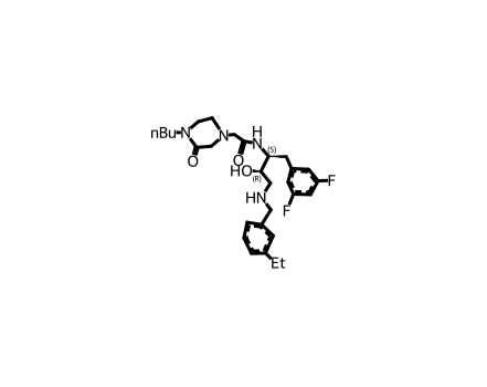 CCCCN1CCN(CC(=O)N[C@@H](Cc2cc(F)cc(F)c2)[C@H](O)CNCc2cccc(CC)c2)CC1=O